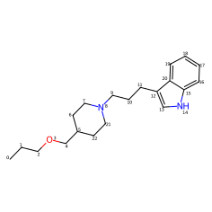 CCCOCC1CCN(CCCc2c[nH]c3ccccc23)CC1